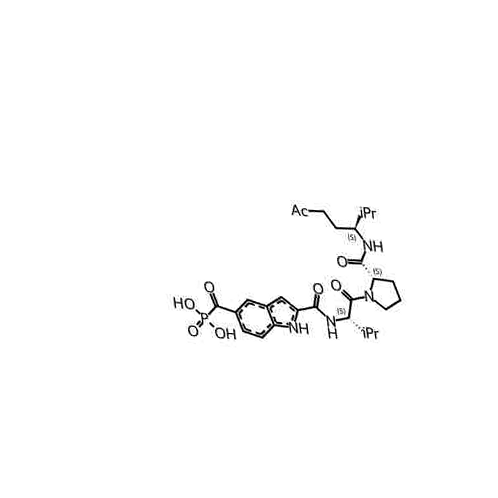 CC(=O)CC[C@H](NC(=O)[C@@H]1CCCN1C(=O)[C@@H](NC(=O)c1cc2cc(C(=O)P(=O)(O)O)ccc2[nH]1)C(C)C)C(C)C